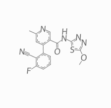 COc1nnc(NC(=O)c2cnc(C)cc2-c2cccc(F)c2C#N)s1